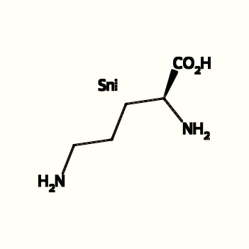 NCCC[C@H](N)C(=O)O.[Sn]